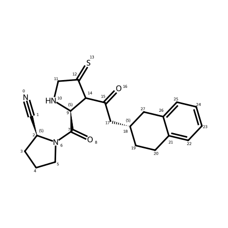 N#C[C@@H]1CCCN1C(=O)[C@H]1NCC(=S)C1C(=O)C[C@H]1CCc2ccccc2C1